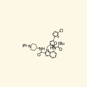 CC(C)N1CCC(NC(=O)c2cc3cccc(NC(=O)C(C)(C)C)c3n2Cc2cc(-c3ccc(Cl)s3)on2)CC1